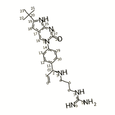 C=C[C@H](NCCCNC(=N)N)c1ccc(-n2cc3cc(C(C)(C)C)[nH]c3nc2=O)cc1